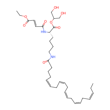 CC/C=C\C/C=C\C/C=C\C/C=C\C/C=C\CCCC(=O)NCCCC[C@H](NC(=O)/C=C/C(=O)OCC)C(=O)OC(CO)CO